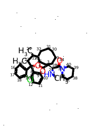 CN[C@@H](CC(=O)OC(c1ccccc1)(c1ccccc1Cl)[C@@H](C)C(C)C1CCCCCCC1)C(=O)N1CCCCC1